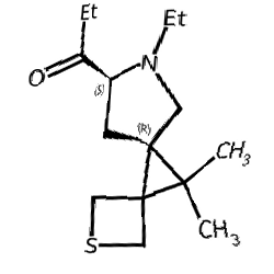 CCC(=O)[C@@H]1C[C@@]2(CN1CC)C(C)(C)C21CSC1